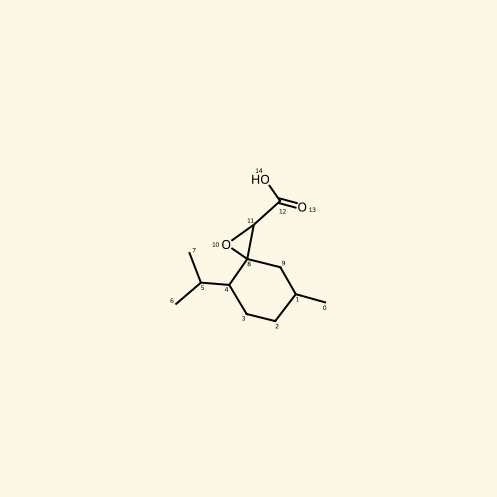 CC1CCC(C(C)C)C2(C1)OC2C(=O)O